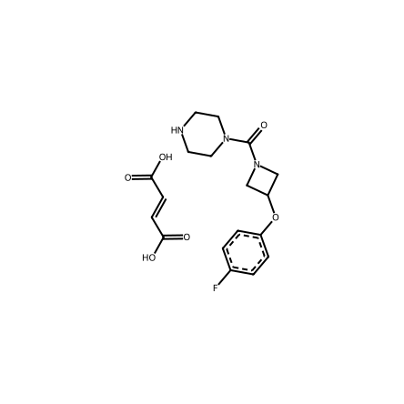 O=C(N1CCNCC1)N1CC(Oc2ccc(F)cc2)C1.O=C(O)/C=C/C(=O)O